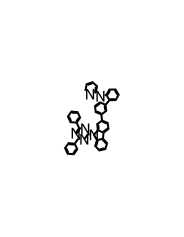 c1ccc(-c2nc(-c3ccccc3)nc(-n3c4ccccc4c4ccc(-c5ccc6c(c5)c5ccccc5n6-c5ccccn5)cc43)n2)cc1